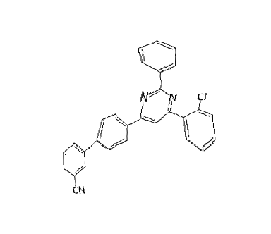 N#Cc1cccc(-c2ccc(-c3cc(-c4ccccc4Cl)nc(-c4ccccc4)n3)cc2)c1